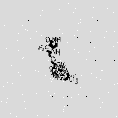 [2H]C1([2H])N(C(=O)C(O)COCC(C)Nc2cn[nH]c(=O)c2C(F)(F)F)C([2H])([2H])C([2H])([2H])N(c2ncc(C(F)(F)F)cn2)C1([2H])[2H]